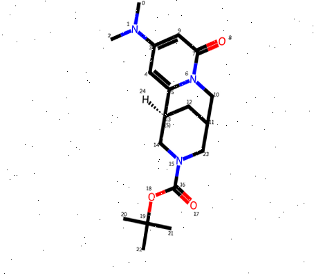 CN(C)c1cc2n(c(=O)c1)CC1C[C@H]2CN(C(=O)OC(C)(C)C)C1